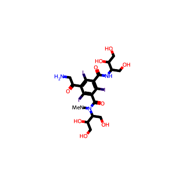 CNN(C(=O)c1c(I)c(C(=O)CN)c(I)c(C(=O)NC(CO)C(O)CO)c1I)C(CO)C(O)CO